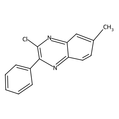 Cc1ccc2nc(-c3ccccc3)c(Cl)nc2c1